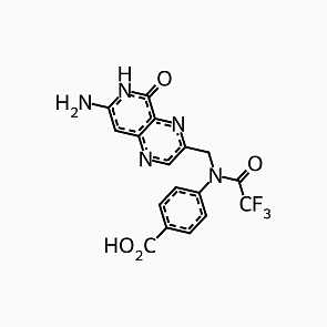 Nc1cc2ncc(CN(C(=O)C(F)(F)F)c3ccc(C(=O)O)cc3)nc2c(=O)[nH]1